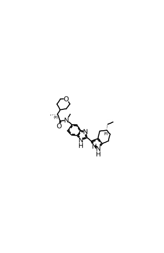 CC[C@@H]1CCc2[nH]nc(-c3nc4cc(N(C)C(=O)[C@H](C)C5CCOCC5)ccc4[nH]3)c2C1